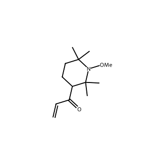 C=CC(=O)C1CCC(C)(C)N(OC)C1(C)C